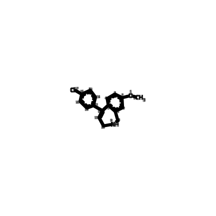 COc1ccc2c(c1)CNCC=C2c1ccc(Cl)cc1